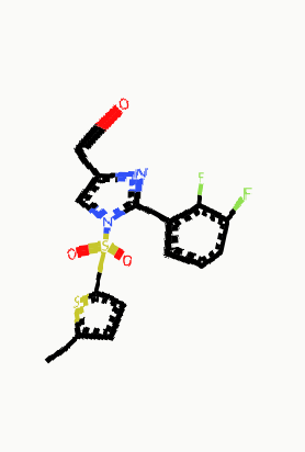 Cc1ccc(S(=O)(=O)n2cc(C=O)nc2-c2cccc(F)c2F)s1